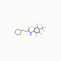 O=C(CCC1CCCCC1)Nc1c(F)c(F)c(C(F)(F)F)c(F)c1F